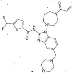 C=CC(=O)N1CCC[C@@H](n2c(NC(=O)c3ccc(C(F)F)s3)nc3cc(CN4CCOCC4)ccc32)CC1